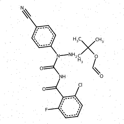 CC(C)(C)OC=O.N#Cc1ccc(N(N)C(=O)NC(=O)c2c(F)cccc2Cl)cc1